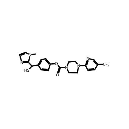 Cn1ccnc1C(S)c1ccc(OC(=O)N2CCN(c3ccc(C(F)(F)F)cn3)CC2)cc1